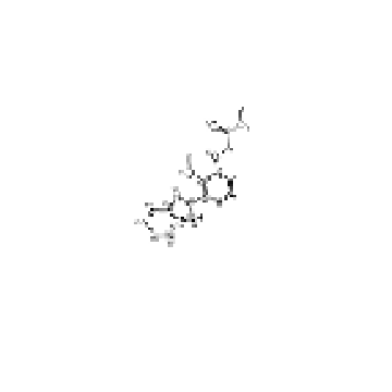 COC(=O)COc1cccc(-c2nc3cncnc3[nH]2)c1OC